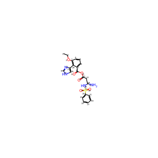 CCOc1cccc(C(=O)OC(=O)C[C@@H](N)NS(=O)(=O)c2ccccc2)c1-c1c[nH]cn1